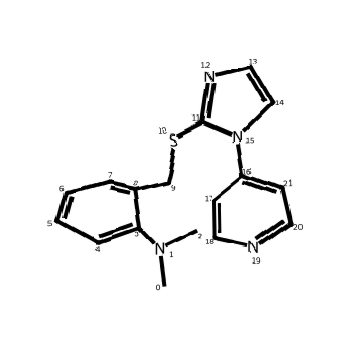 CN(C)c1ccccc1CSc1nccn1-c1ccncc1